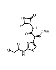 CO/N=C(\C(=O)NC1C(=O)NC1F)c1csc(NC(=O)CCl)n1